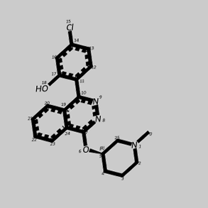 CN1CCC[C@@H](Oc2nnc(-c3ccc(Cl)cc3O)c3ccccc23)C1